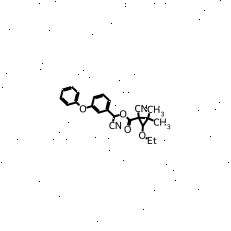 CCOC1C(C)(C)C1(C#N)C(=O)OC(C#N)c1cccc(Oc2ccccc2)c1